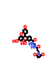 O=C(CCN1C(=O)C=CC1=O)NCNC(=O)c1ccc(-c2c3ccc(=O)cc-3oc3cc(O)ccc23)c(C(=O)O)c1